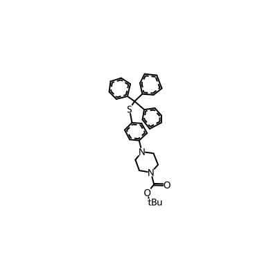 CC(C)(C)OC(=O)N1CCN(c2ccc(SC(c3ccccc3)(c3ccccc3)c3ccccc3)cc2)CC1